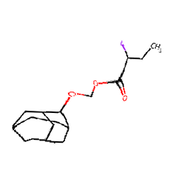 CCC(I)C(=O)OCOC1C2CC3CC(C2)CC1C3